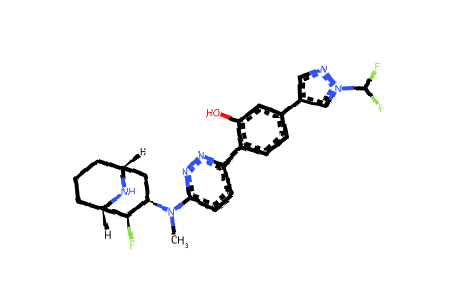 CN(c1ccc(-c2ccc(-c3cnn(C(F)F)c3)cc2O)nn1)[C@@H]1C[C@H]2CCC[C@H](N2)[C@@H]1F